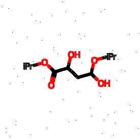 CC(C)OC(=O)C(O)CC(O)OC(C)C